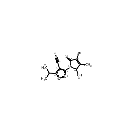 CC1=C(Br)C(=O)N(c2noc(C(C)C)c2C#N)C1O